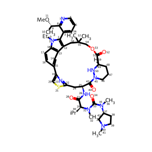 CCn1c(-c2cccnc2[C@H](C)OC)c2c3cc(ccc31)-c1csc(n1)C[C@H](NC(=O)[C@H](C(C)C)N(C)C(=O)N(C)[C@H]1CCN(C)C1)C(=O)N1CCC[C@H](N1)C(=O)OCC(C)(C)C2